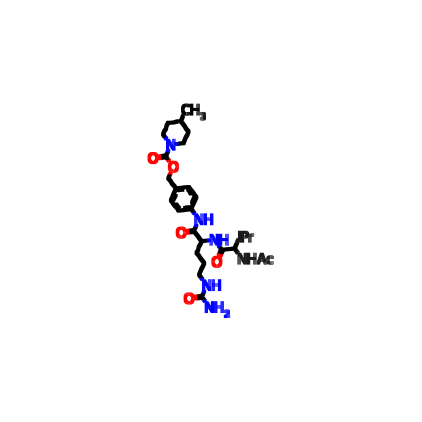 CC(=O)NC(C(=O)NC(CCCNC(N)=O)C(=O)Nc1ccc(COC(=O)N2CCC(C)CC2)cc1)C(C)C